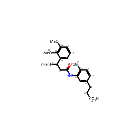 CCCCCC(CC(=O)Nc1cc(CCC(=O)O)ccc1C(C)(C)C)c1cccc(OC)c1OC